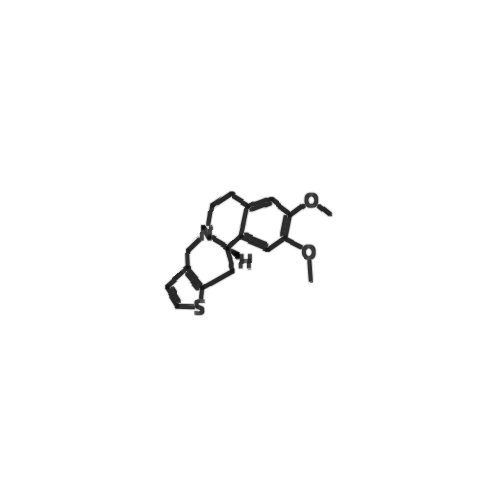 COc1cc2c(cc1OC)[C@@H]1Cc3sccc3CN1CC2